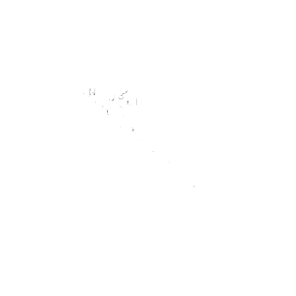 CCCCCCCCCCCCCCOCCCC(C[N+](C)(C)C)OP(=O)(O)O